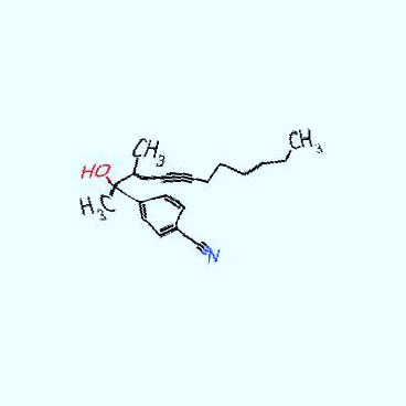 CCCCCCC#CC(C)C(C)(O)c1ccc(C#N)cc1